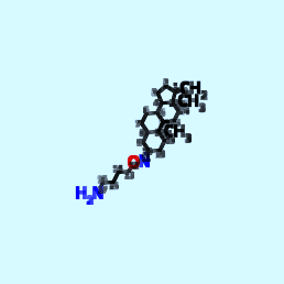 C=C1CCC2C3CCC4CC(=NOCCCCN)CC[C@]4(C)C3CC[C@]12C